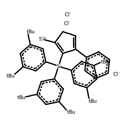 CC(C)(C)c1cc(C(C)(C)C)cc([Si](C2=[C]([Ti+3])CC=C2c2ccccc2)(c2cc(C(C)(C)C)cc(C(C)(C)C)c2)c2cc(C(C)(C)C)cc(C(C)(C)C)c2)c1.[Cl-].[Cl-].[Cl-]